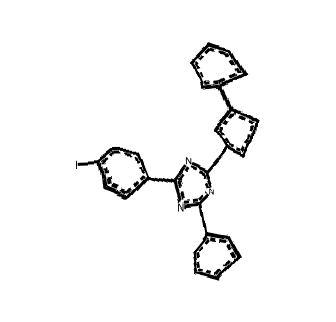 Ic1ccc(-c2nc(-c3ccccc3)nc(-c3cccc(-c4ccccc4)c3)n2)cc1